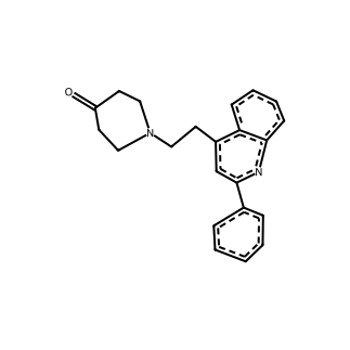 O=C1CCN(CCc2cc(-c3ccccc3)nc3ccccc23)CC1